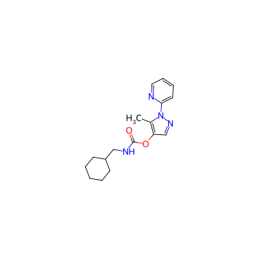 Cc1c(OC(=O)NCC2CCCCC2)cnn1-c1ccccn1